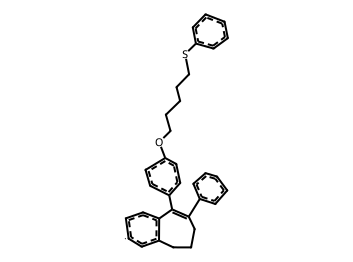 [c]1ccc2c(c1)CCCC(c1ccccc1)=C2c1ccc(OCCCCCSc2ccccc2)cc1